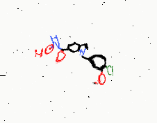 COc1cc(Cn2ccc3ccc(C(=O)NO)cc32)ccc1Cl